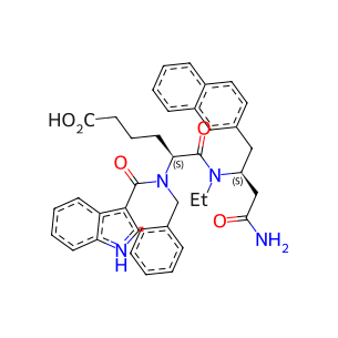 CCN(C(=O)[C@H](CCCC(=O)O)N(Cc1ccccc1)C(=O)c1c[nH]c2ccccc12)[C@H](CC(N)=O)Cc1ccc2ccccc2c1